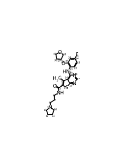 Cc1c(C(=O)NCCCN2CCCC2)sc2ncnc(Nc3ccc(F)cc3O[C@@H]3CCOC3)c12